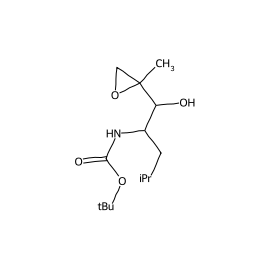 CC(C)CC(NC(=O)OC(C)(C)C)C(O)C1(C)CO1